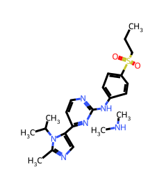 CCCS(=O)(=O)c1ccc(Nc2nccc(-c3cnc(C)n3C(C)C)n2)cc1.CNC